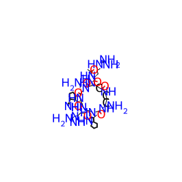 C=C(N)[C@@H]1CCCNC(=O)CC[C@H](NC(=O)[C@H](CCCNC(=N)N)NC(C)=O)C(=O)N[C@@H](CCN)C(=O)N[C@H](Cc2ccccc2C#N)C(=O)N[C@@H](CCCNC(=N)N)C(=O)N[C@@H](Cc2c[nH]c3ccccc23)C(=O)N1